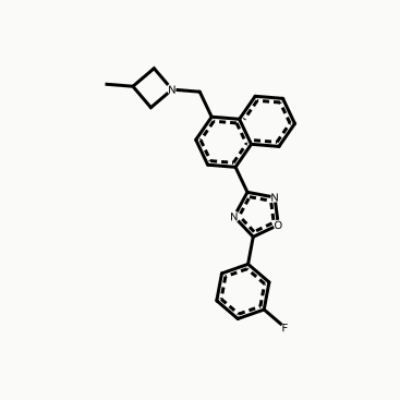 CC1CN(Cc2ccc(-c3noc(-c4cccc(F)c4)n3)c3ccccc23)C1